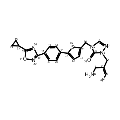 NC/C(=C\F)Cn1ncn(Cc2ccc(-c3ccc(-c4noc(C5CC5)n4)cc3)s2)c1=O